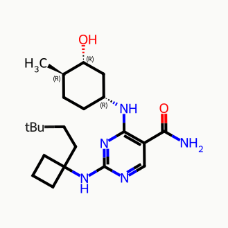 C[C@@H]1CC[C@@H](Nc2nc(NC3(CCC(C)(C)C)CCC3)ncc2C(N)=O)C[C@H]1O